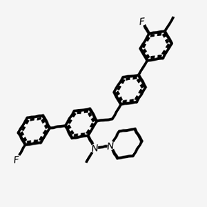 Cc1ccc(-c2ccc(Cc3ccc(-c4cccc(F)c4)cc3N(C)N3CCCCC3)cc2)cc1F